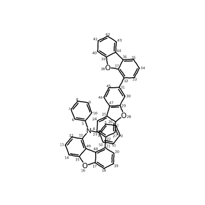 c1ccc(N(c2ccccc2)c2cccc3oc4cccc(-c5ccc6c(c5)oc5cc(-c7cccc8c7oc7ccccc78)ccc56)c4c23)cc1